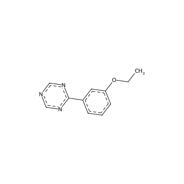 CCOc1cccc(-c2ncncn2)c1